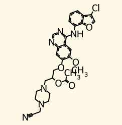 COc1cc2c(Nc3cccc4c(Cl)coc34)ncnc2cc1OCC(CN1CCN(CC#N)CC1)OC(C)=O